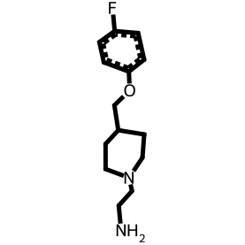 NCCN1CCC(COc2ccc(F)cc2)CC1